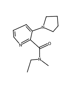 CCN(C)C(=O)c1ncccc1N1CCCC1